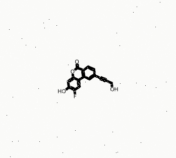 O=c1oc2cc(O)c(F)cc2c2cc(C#CCO)ccc12